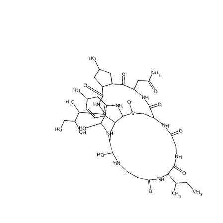 CCC(C)C1NC(=O)CCNC(O)C2CC3C4=C(CC(O)C=C4)NC3[S+]([O-])CC(NC(=O)CNC1=O)C(=O)NC(CC(N)=O)C(=O)C1CC(O)CC1C(=O)NC(C(C)C(O)CO)C(O)N2